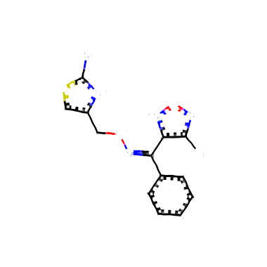 Cc1nonc1/C(=N\OCc1csc(N)n1)c1ccccc1